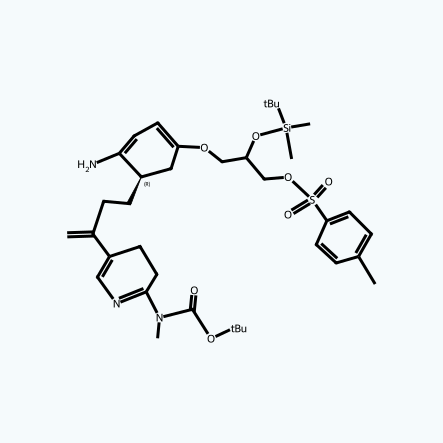 C=C(CC[C@@H]1CC(OCC(COS(=O)(=O)c2ccc(C)cc2)O[Si](C)(C)C(C)(C)C)=CC=C1N)C1=CN=C(N(C)C(=O)OC(C)(C)C)CC1